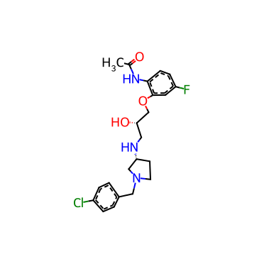 CC(=O)Nc1ccc(F)cc1OC[C@@H](O)CN[C@@H]1CCN(Cc2ccc(Cl)cc2)C1